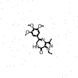 CCn1nc(C)c2c1C(=O)NCC(c1cc(OC)c(OC)c(OC)c1)=N2